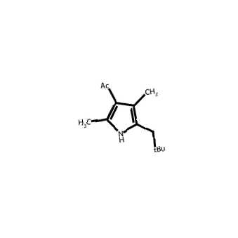 CC(=O)c1c(C)[nH]c(CC(C)(C)C)c1C